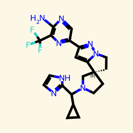 Nc1ncc(-c2cc3n(n2)CC[C@@]32CCN(C(c3ncc[nH]3)C3CC3)C2)nc1C(F)(F)F